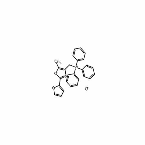 Cc1oc(-c2ccco2)nc1C[P+](c1ccccc1)(c1ccccc1)c1ccccc1.[Cl-]